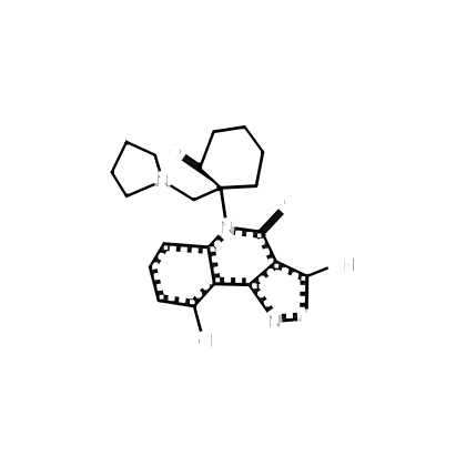 Cc1onc2c1c(=O)n(C1(CN3CCCC3)CCCCC1=O)c1cccc(Cl)c21